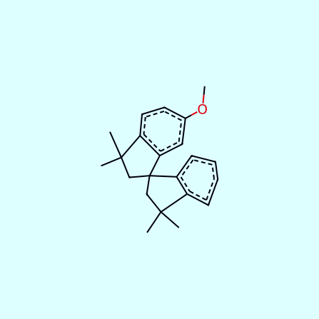 COc1ccc2c(c1)C1(CC(C)(C)c3ccccc31)CC2(C)C